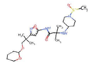 C[S+]([O-])N1CCC(NC(C)(C)C(=O)Nc2cc(C(C)(C)COC3CCCCO3)no2)CC1